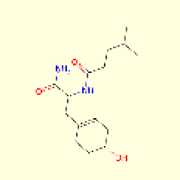 CC(C)CCC(=O)NC(CC1=CC[C@H](O)CC1)C(N)=O